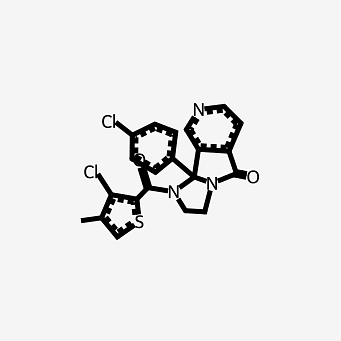 Cc1csc(C(=O)N2CCN3C(=O)c4ccncc4C32c2ccc(Cl)cc2)c1Cl